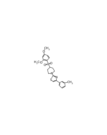 COc1ccc(S(=O)(=O)C2CCN(c3nc(-c4cccc(C)c4)cs3)CC2)c(OC)c1